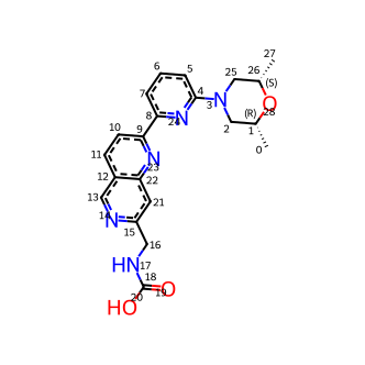 C[C@@H]1CN(c2cccc(-c3ccc4cnc(CNC(=O)O)cc4n3)n2)C[C@H](C)O1